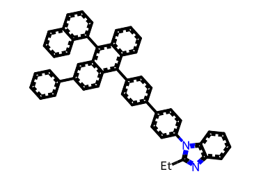 CCc1nc2ccccc2n1-c1ccc(-c2ccc(-c3c4ccccc4c(-c4cccc5ccccc45)c4cc(-c5ccccc5)ccc34)cc2)cc1